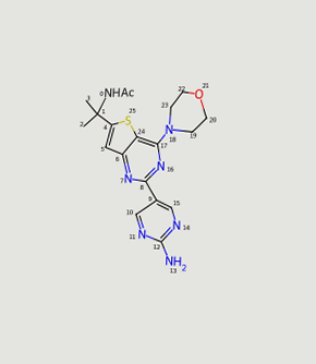 CC(=O)NC(C)(C)c1cc2nc(-c3cnc(N)nc3)nc(N3CCOCC3)c2s1